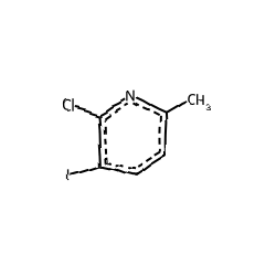 Cc1ccc(I)c(Cl)n1